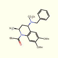 CCOC(=O)N(Cc1ccccc1)[C@@H]1C[C@H](C)N(C(=O)C(C)(C)C)c2cc(OC)c(OC)cc21